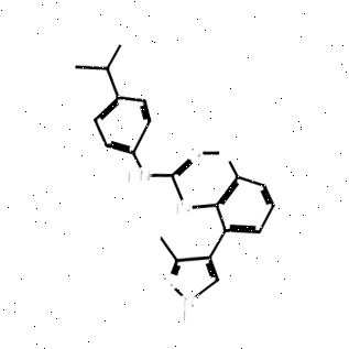 Cc1n[nH]cc1-c1cccc2c1NC(Nc1ccc(C(C)C)cc1)=NS2